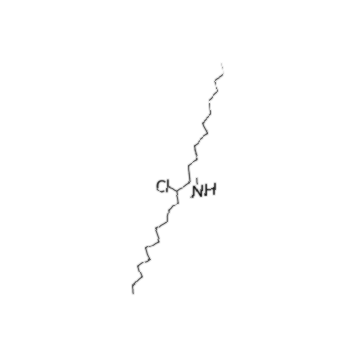 CCCCCCCCCCCCC(Cl)CCCCCCCCCCC.CNC